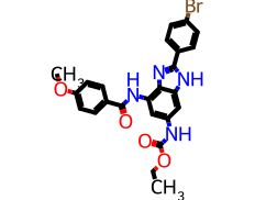 CCOC(=O)Nc1cc(NC(=O)c2ccc(OC)cc2)c2nc(-c3ccc(Br)cc3)[nH]c2c1